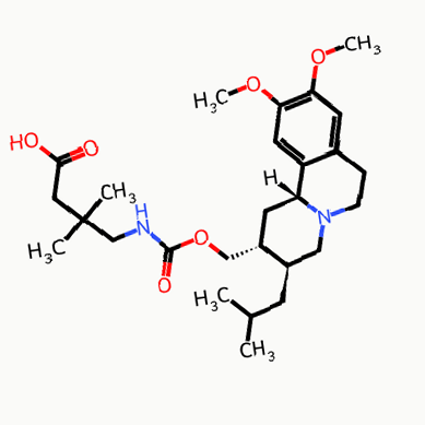 COc1cc2c(cc1OC)[C@H]1C[C@@H](COC(=O)NCC(C)(C)CC(=O)O)[C@H](CC(C)C)CN1CC2